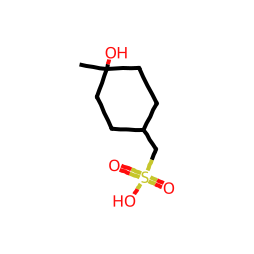 CC1(O)CCC(CS(=O)(=O)O)CC1